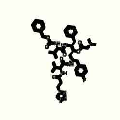 CC(C)[C@H](NC(=O)CCn1cnnn1)C(=O)NN(Cc1ccc(F)cc1)C[C@H](OC(=O)CN(C)C)[C@H](Cc1ccccc1)NC(=O)[C@@H](NC(=O)OCc1ccccc1)C(C)C